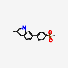 CC1C=Nc2cc(-c3ccc(S(C)(=O)=O)cc3)ccc2C1